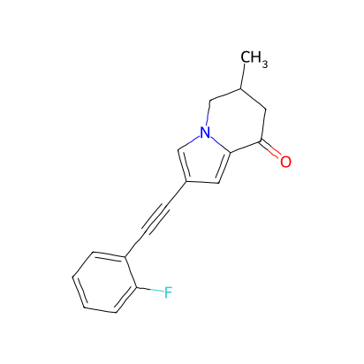 CC1CC(=O)c2cc(C#Cc3ccccc3F)cn2C1